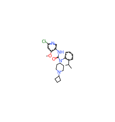 COc1cc(Cl)ncc1NC(=O)N(c1ccccc1C(C)C)C1CCN(C2CCC2)CC1